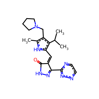 Cc1[nH]c(C=C2C(=O)NN=C2c2nccnn2)c(C(C)C)c1CN1CCCC1